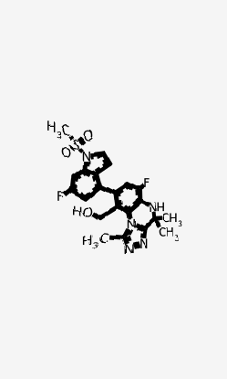 Cc1nnc2n1-c1c(CO)c(-c3cc(F)cc4c3ccn4S(C)(=O)=O)cc(F)c1NC2(C)C